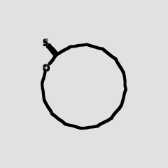 S=C1CCCCCCCCCCCCCCO1